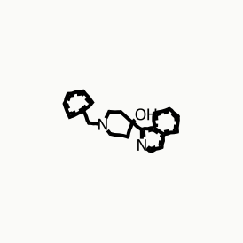 OC1(c2nccc3ccccc23)CCN(Cc2ccccc2)CC1